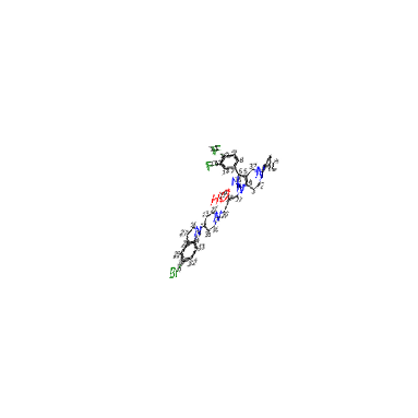 CC(=O)N1CCc2c(c(-c3ccc(F)c(F)c3)nn2CC(O)CN2CCC(N3CCc4cc(Br)ccc43)CC2)C1